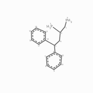 PCC(P)CC(c1ccccc1)c1ccccc1